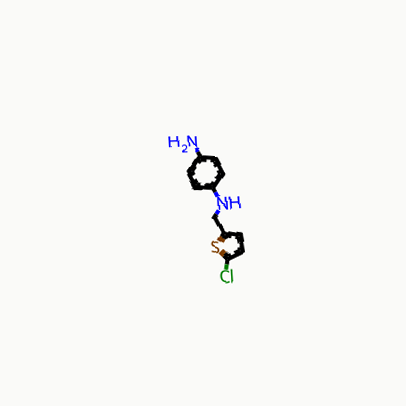 Nc1ccc(NCc2ccc(Cl)s2)cc1